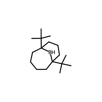 CC(C)(C)C12BC(C(C)(C)C)(CCCC1)CCC2